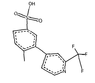 Cc1ccc(S(=O)(=O)O)cc1-c1ccnc(C(F)(F)F)c1